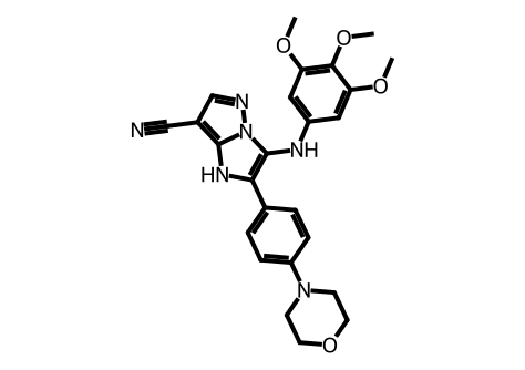 COc1cc(Nc2c(-c3ccc(N4CCOCC4)cc3)[nH]c3c(C#N)cnn23)cc(OC)c1OC